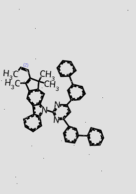 C/C=C\C1=C(C)c2cc3c4ccccc4n(-c4nc(-c5cccc(-c6ccccc6)c5)cc(-c5cccc(-c6ccccc6)c5)n4)c3cc2C1(C)C